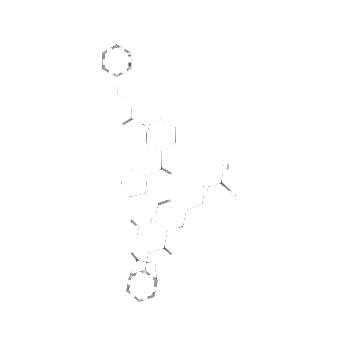 N=C(N)NCCC[C@H](NC(=O)[C@@H]1CCCN1C(=O)C1CCCN(C(=O)OCc2ccccc2)C1)C(=O)C(O[C]=O)c1c2cccc1C(=O)N2